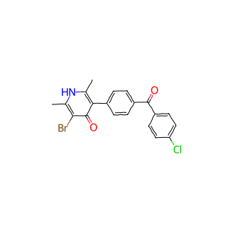 Cc1[nH]c(C)c(-c2ccc(C(=O)c3ccc(Cl)cc3)cc2)c(=O)c1Br